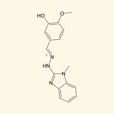 COc1ccc(/C=N/Nc2nc3ccccc3n2C)cc1O